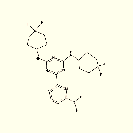 FC(F)c1ccnc(-c2nc(NC3CCC(F)(F)CC3)nc(NC3CCC(F)(F)CC3)n2)n1